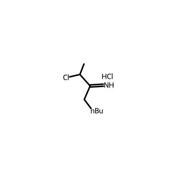 CCCCCC(=N)C(C)Cl.Cl